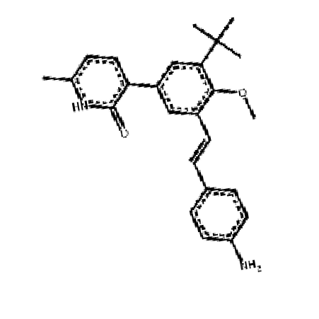 COc1c(C=Cc2ccc(N)cc2)cc(-c2ccc(C)[nH]c2=O)cc1C(C)(C)C